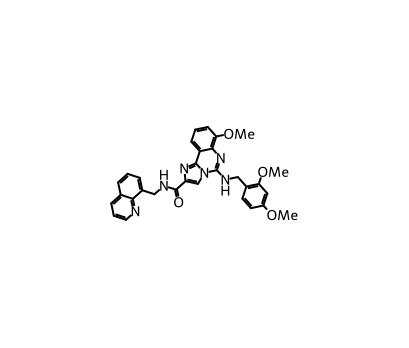 COc1ccc(CNc2nc3c(OC)cccc3c3nc(C(=O)NCc4cccc5cccnc45)cn23)c(OC)c1